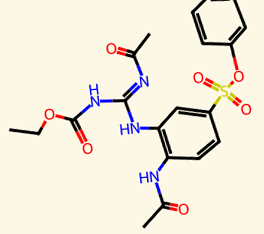 CCOC(=O)NC(=NC(C)=O)Nc1cc(S(=O)(=O)Oc2ccccc2)ccc1NC(C)=O